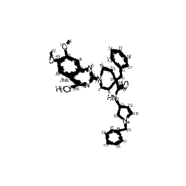 COc1cc2nc(N3CCC(Cc4ccccc4)(C(=O)NC4CCN(Cc5ccccc5)C4)CC3)nc(O)c2cc1OC